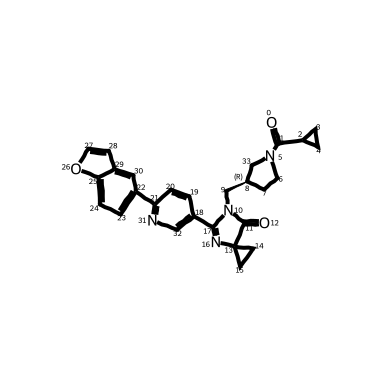 O=C(C1CC1)N1CC[C@@H](CN2C(=O)C3(CC3)N=C2c2ccc(-c3ccc4occc4c3)nc2)C1